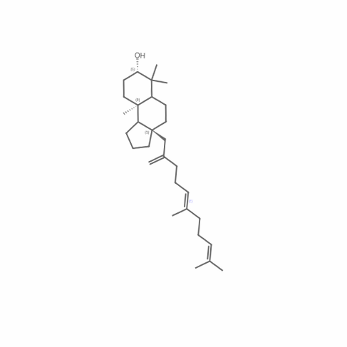 C=C(CC/C=C(\C)CCC=C(C)C)C[C@@]12CCCC1[C@@]1(C)CC[C@H](O)C(C)(C)C1CC2